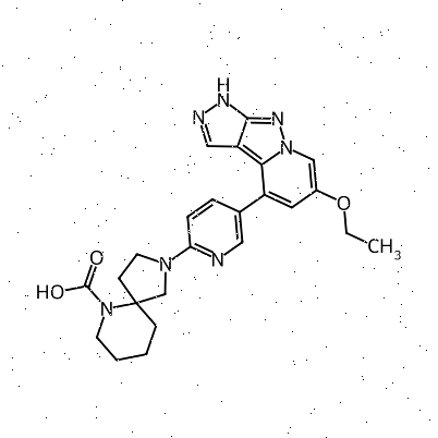 CCOc1cc(-c2ccc(N3CCC4(CCCCN4C(=O)O)C3)nc2)c2c3cn[nH]c3nn2c1